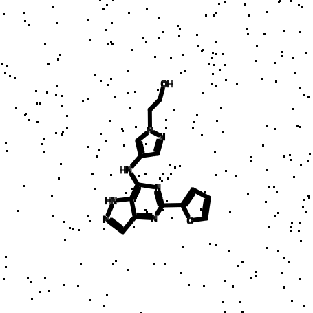 OCCn1cc(Nc2nc(-c3ccco3)nc3cn[nH]c23)cn1